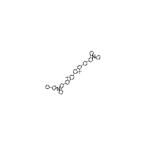 CC1(C)c2cc(-c3ccc(-c4ccc5c(c4)c4ccccc4n5-c4ccccc4)cc3)ccc2-c2ccc(-c3ccc4c(c3)C(C)(C)c3cc(-c5ccc6c(c5)c5ccccc5n6-c5ccc(-c6ccccc6)cc5)ccc3-4)cc21